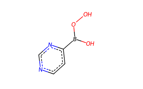 OOB(O)c1ccncn1